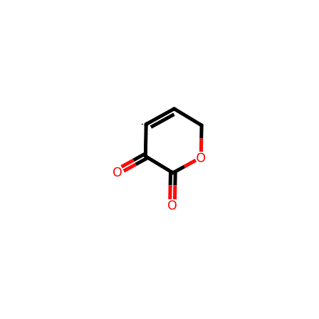 O=C1[C]=CCOC1=O